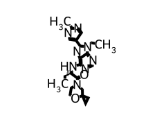 CC[C@@H](Nc1ncnc2c1nc(-c1cnc(C)nc1)n2CC)C(=O)N1CCOC2(CC2)C1